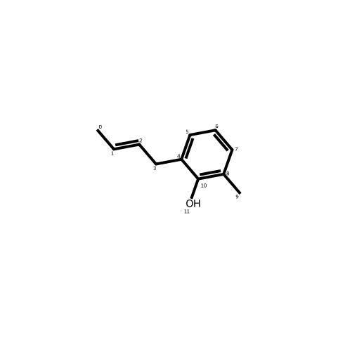 CC=CCc1cccc(C)c1O